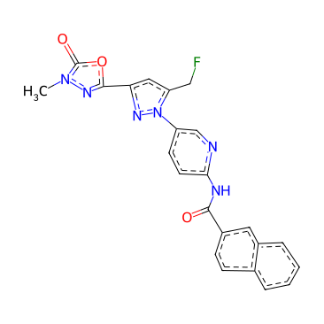 Cn1nc(-c2cc(CF)n(-c3ccc(NC(=O)c4ccc5ccccc5c4)nc3)n2)oc1=O